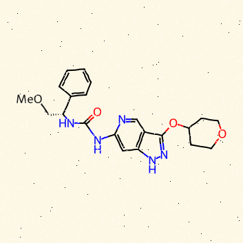 COC[C@@H](NC(=O)Nc1cc2[nH]nc(OC3CCOCC3)c2cn1)c1ccccc1